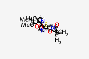 CNC[C@H](OC)C(O)c1c(C)ccnc1-c1ccnc2cc(CN3C(=O)C4C(C3=O)C4(C)C)sc12